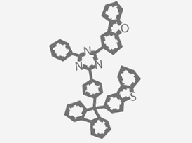 c1ccc(-c2nc(-c3ccc(C4(c5ccc6sc7ccccc7c6c5)c5ccccc5-c5ccccc54)cc3)nc(-c3ccc4oc5ccccc5c4c3)n2)cc1